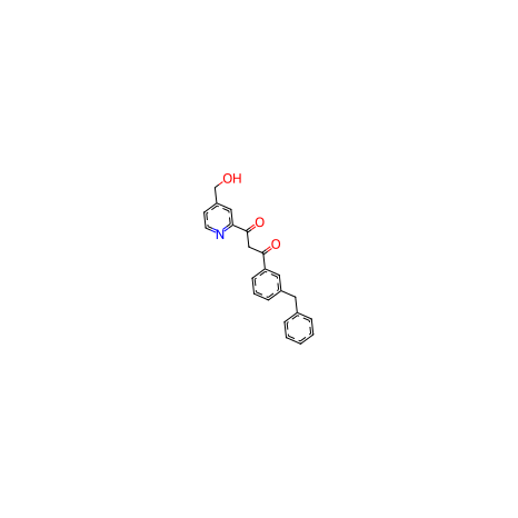 O=C(CC(=O)c1cc(CO)ccn1)c1cccc(Cc2ccccc2)c1